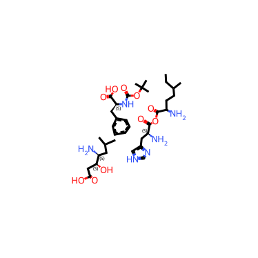 CC(C)(C)OC(=O)N[C@@H](Cc1ccccc1)C(=O)O.CC(C)C[C@H](N)[C@@H](O)CC(=O)O.CCC(C)CCC(N)C(=O)OC(=O)[C@@H](N)Cc1c[nH]cn1